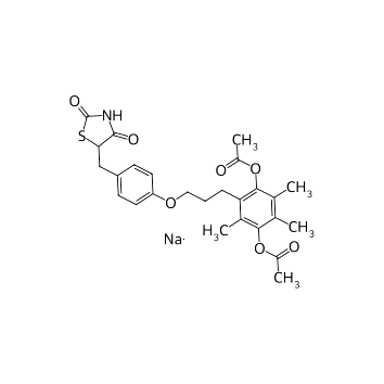 CC(=O)Oc1c(C)c(C)c(OC(C)=O)c(CCCOc2ccc(CC3SC(=O)NC3=O)cc2)c1C.[Na]